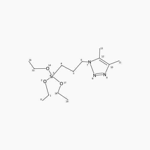 CCO[Si](CCCn1nnc(C)c1C)(OCC)OCC